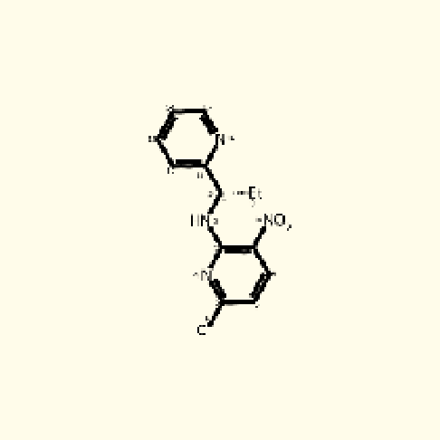 CC[C@H](Nc1nc(Cl)ccc1[N+](=O)[O-])c1ccccn1